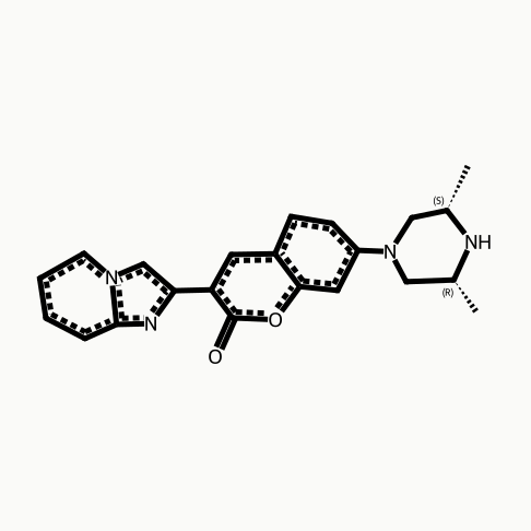 C[C@@H]1CN(c2ccc3cc(-c4cn5ccccc5n4)c(=O)oc3c2)C[C@H](C)N1